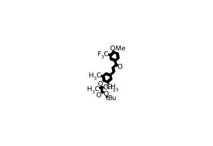 COc1ccc(C(=O)C=Cc2cc(C)c(OC(C)(C)C(=O)OC(C)(C)C)c(C)c2)cc1C(F)(F)F